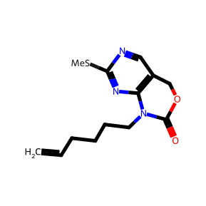 C=CCCCCN1C(=O)OCc2cnc(SC)nc21